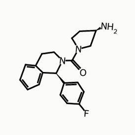 N[C@@H]1CCN(C(=O)N2CCc3ccccc3[C@@H]2c2ccc(F)cc2)C1